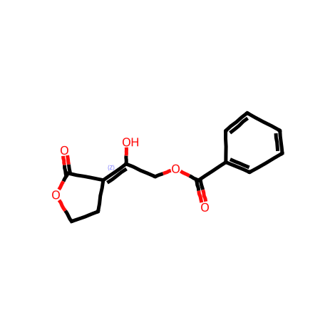 O=C1OCC/C1=C(/O)COC(=O)c1ccccc1